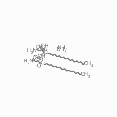 CCCCCCCCCCCCCCCCCCOC(=O)C(CC(N)=O)S(=O)(=O)O.CCCCCCCCCCCCCCCCCCOC(=O)C(CC(N)=O)S(=O)(=O)O.N.N